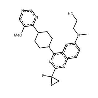 COc1cncnc1C1CCN(c2nc(C3(F)CC3)nc3ccc(N(C)CCO)cc23)CC1